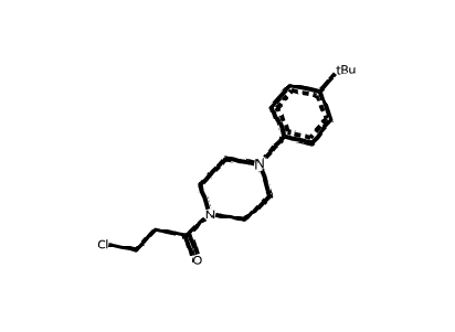 CC(C)(C)c1ccc(N2CCN(C(=O)CCCl)CC2)cc1